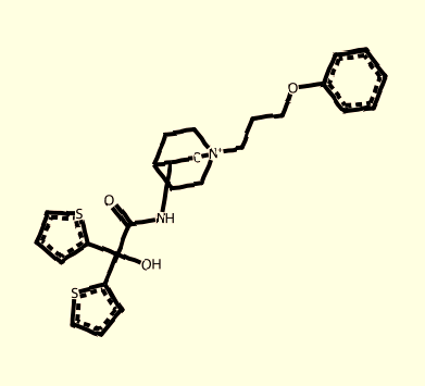 O=C(NC1C[N+]2(CCCOc3ccccc3)CCC1CC2)C(O)(c1cccs1)c1cccs1